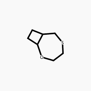 C1CSCC2CCC2O1